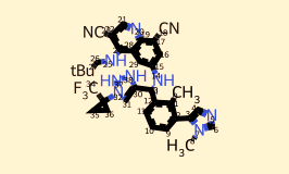 Cc1c(-c2cncn2C)cccc1[C@H](Nc1cc(C#N)c2ncc(C#N)c(NCC(C)(C)C)c2c1)C1=CN(C2(C(F)(F)F)CC2)NN1